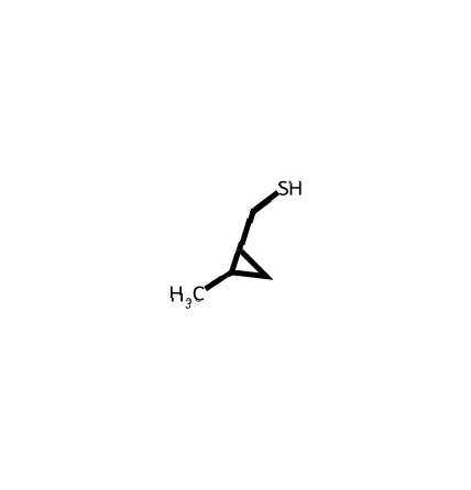 CC1CC1CS